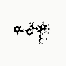 Cc1nc2c(OCc3c(F)cccc3F)cccn2c1-c1nc(NCC(O)CO)c2c(n1)NC(=O)C2(C)C